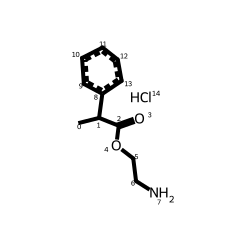 CC(C(=O)OCCN)c1ccccc1.Cl